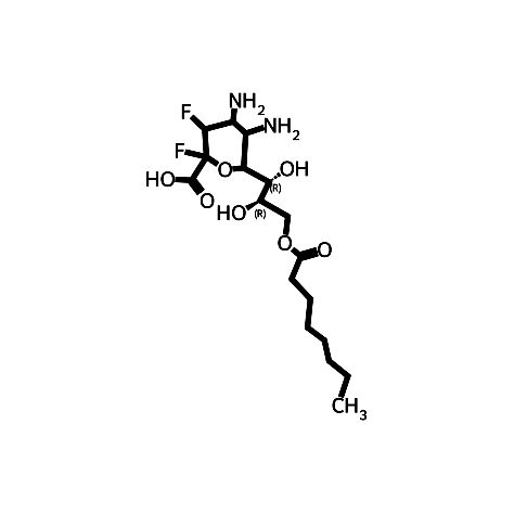 CCCCCCCC(=O)OC[C@@H](O)[C@@H](O)C1OC(F)(C(=O)O)C(F)C(N)C1N